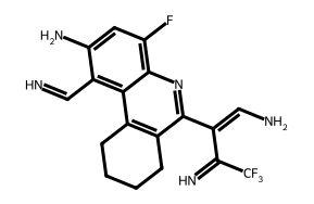 N=Cc1c(N)cc(F)c2nc(/C(=C/N)C(=N)C(F)(F)F)c3c(c12)CCCC3